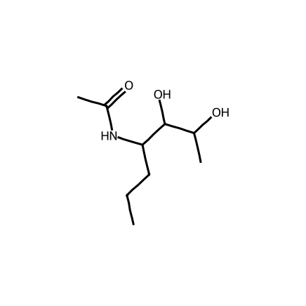 CCCC(NC(C)=O)C(O)C(C)O